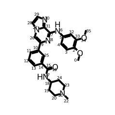 COc1ccc(Nc2nc(-c3cccc(C(=O)NC4CCN(C)CC4)c3)cn3ccnc23)cc1OC